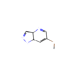 CSC1=CC2NN=CC2N=C1